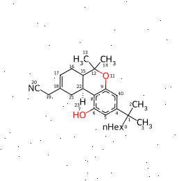 CCCCCCC(C)(C)c1cc(O)c2c(c1)OC(C)(C)C1CC=C(CC#N)C[C@H]21